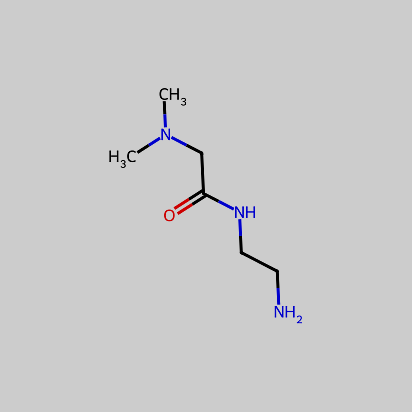 CN(C)CC(=O)NCCN